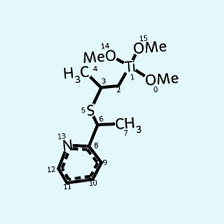 C[O][Ti]([CH2]C(C)SC(C)c1ccccn1)([O]C)[O]C